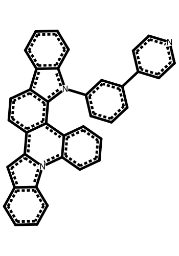 c1cc(-c2ccncc2)cc(-n2c3ccccc3c3ccc4c(c5ccccc5n5c6ccccc6cc45)c32)c1